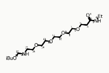 CCNC(=O)CCOCCOCCOCCOCCNCOCC(C)C